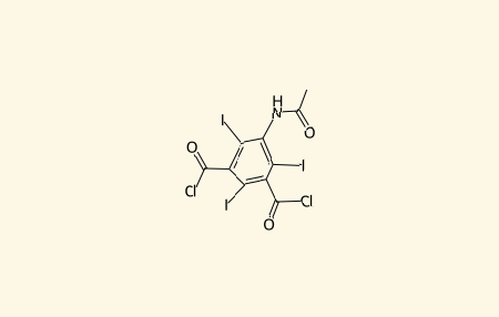 CC(=O)Nc1c(I)c(C(=O)Cl)c(I)c(C(=O)Cl)c1I